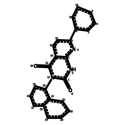 O=c1[nH]c2nc(-c3ccccc3)ccc2c(=O)n1-c1cccc2ccccc12